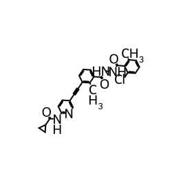 Cc1cccc(Cl)c1C(=O)NNC(=O)c1cccc(C#Cc2ccc(NC(=O)C3CC3)nc2)c1C